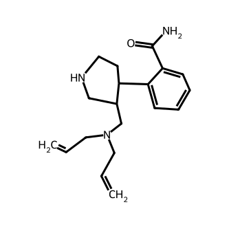 C=CCN(CC=C)CC1CNCCC1c1ccccc1C(N)=O